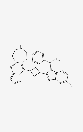 CC(c1ccccc1)n1c(C2CN(c3c4c(nc5ccnn35)CCNCC4)C2)nc2cc(Cl)ccc21